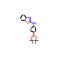 CC1(C)OB(c2ccc(Nc3nc4ccccc4o3)cc2)OC1(C)C